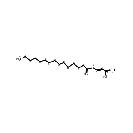 C=C(Cl)C=COC(=O)CCCCCCCCCCCCCC